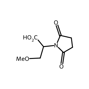 COCC(C(=O)O)N1C(=O)CCC1=O